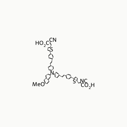 [C-]#[N+]/C(=C\c1ccc(-c2ccc(/C=C/c3ccc(N(c4ccc(/C=C/c5ccc(-c6ccc(/C=C(/C#N)C(=O)O)s6)cc5)cc4)c4ccc5cc(OC)ccc5c4)cc3)cc2)s1)C(=O)O